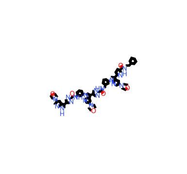 O=C(NCCc1ccccc1)c1ccc(-c2cn(-c3cccc(CNC(=O)c4ncc(-c5cn(-c6cccc(NC(=O)c7ncc(-c8c[nH]c9ncc(N%10CCOCC%10)cc89)cn7)c6)c6ncc(N7CCOCC7)cc56)cn4)c3)c3ncc(N4CCOCC4)cc23)nc1